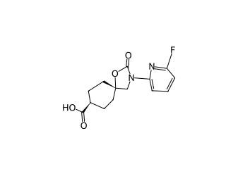 O=C1O[C@]2(CC[C@H](C(=O)O)CC2)CN1c1cccc(F)n1